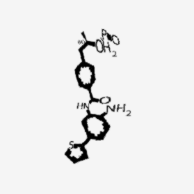 C[C@H](Cc1ccc(C(=O)Nc2cc(-c3cccs3)ccc2N)cc1)O[PH2]=O